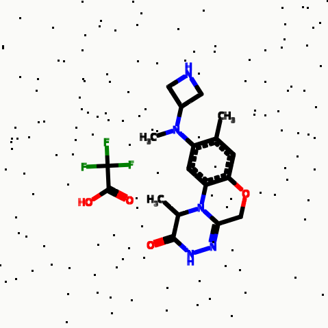 Cc1cc2c(cc1N(C)C1CNC1)N1C(=NNC(=O)C1C)CO2.O=C(O)C(F)(F)F